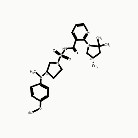 C[C@@H]1CN(c2ncccc2C(=O)NS(=O)(=O)N2CC[C@@H](N(C)c3ccc(OC(C)(C)C)cc3)C2)C(C)(C)C1